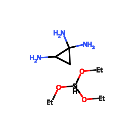 CCO[SiH](OCC)OCC.NC1CC1(N)N